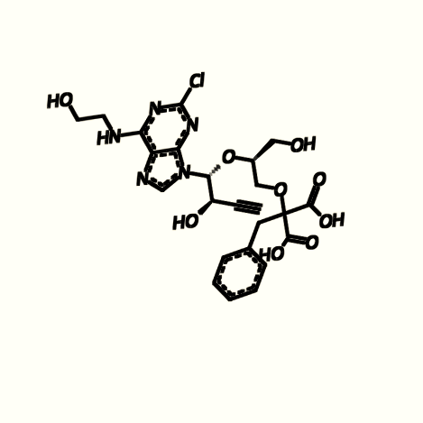 C#C[C@@H](O)[C@@H](O[C@@H](CO)COC(Cc1ccccc1)(C(=O)O)C(=O)O)n1cnc2c(NCCO)nc(Cl)nc21